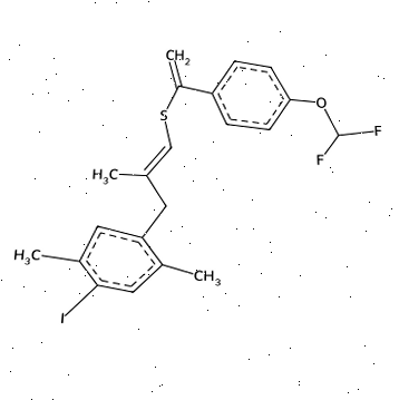 C=C(S/C=C(\C)Cc1cc(C)c(I)cc1C)c1ccc(OC(F)F)cc1